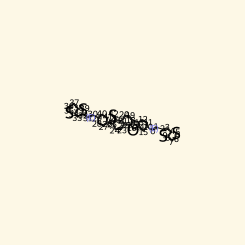 C(=C\c1cc2sccc2s1)/c1ccc2c(c1)oc1c2ccc2c1ccc1c3ccc(/C=C/c4cc5sccc5s4)cc3sc12